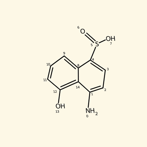 Nc1ccc(S(=O)O)c2cccc(O)c12